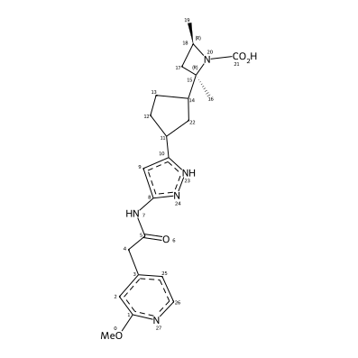 COc1cc(CC(=O)Nc2cc(C3CCC([C@@]4(C)C[C@@H](C)N4C(=O)O)C3)[nH]n2)ccn1